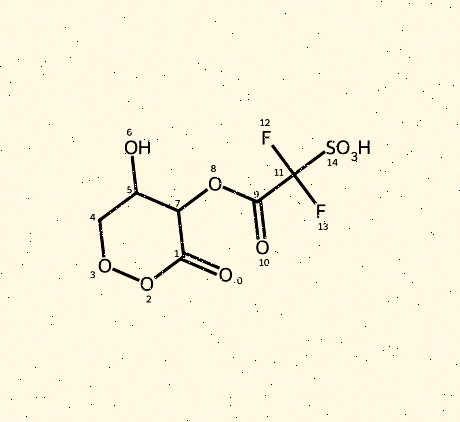 O=C1OOCC(O)C1OC(=O)C(F)(F)S(=O)(=O)O